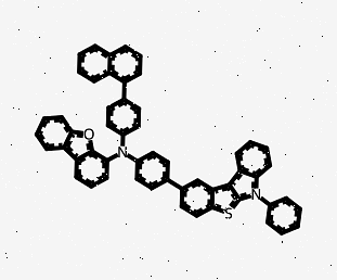 c1ccc(-n2c3ccccc3c3c4cc(-c5ccc(N(c6ccc(-c7cccc8ccccc78)cc6)c6cccc7c6oc6ccccc67)cc5)ccc4sc32)cc1